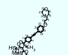 CNC(=O)C(C(=O)NO)N(C)C(=O)c1ccc(C#Cc2ccc(OCCN3CCCOCC3)cc2)cc1